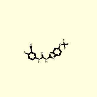 N#Cc1cc(NC(=O)Nc2nc3ccc(OC(F)(F)F)cc3s2)ccc1F